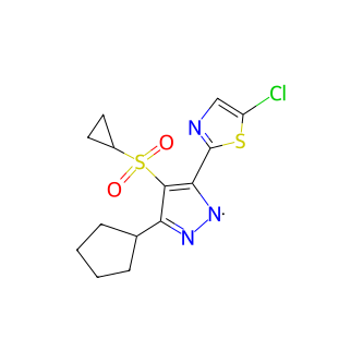 O=S(=O)(C1=C(c2ncc(Cl)s2)[N]N=C1C1CCCC1)C1CC1